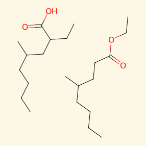 CCCCC(C)CC(CC)C(=O)O.CCCCC(C)CCC(=O)OCC